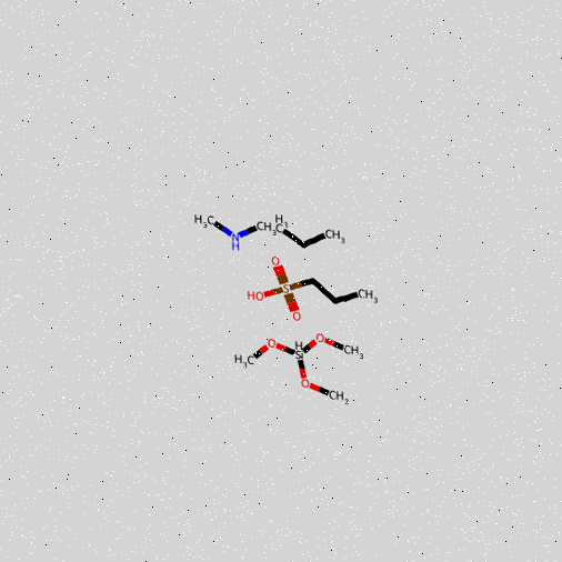 CCC.CCCS(=O)(=O)O.CNC.CO[SiH](OC)OC